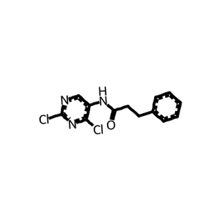 O=C(CCc1ccccc1)Nc1cnc(Cl)nc1Cl